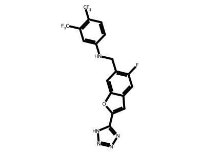 Fc1cc2cc(-c3nnn[nH]3)oc2cc1CNc1ccc(C(F)(F)F)c(C(F)(F)F)c1